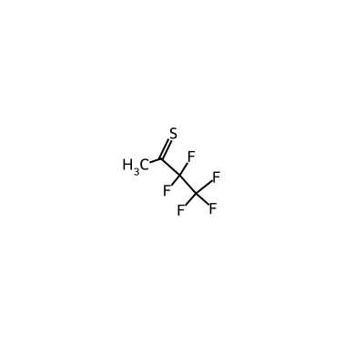 CC(=S)C(F)(F)C(F)(F)F